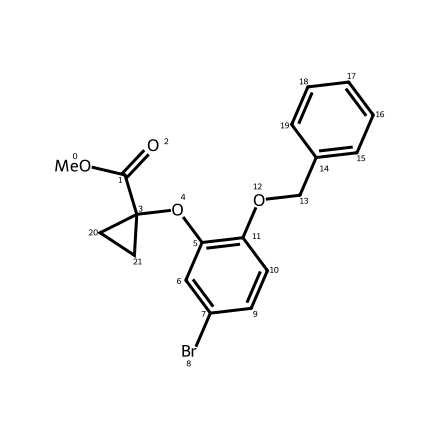 COC(=O)C1(Oc2cc(Br)ccc2OCc2ccccc2)CC1